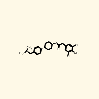 CN(C)Cc1ccc([C@H]2CC[C@H](OC(=O)Cc3cc(Cl)c(N)c(Cl)c3)CC2)cc1